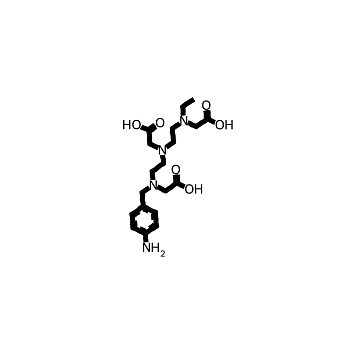 CCN(CCN(CCN(CC(=O)O)Cc1ccc(N)cc1)CC(=O)O)CC(=O)O